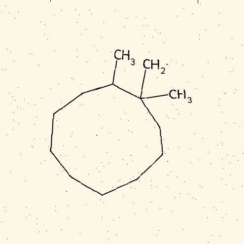 [CH2]C1(C)CCCCCCCCC1C